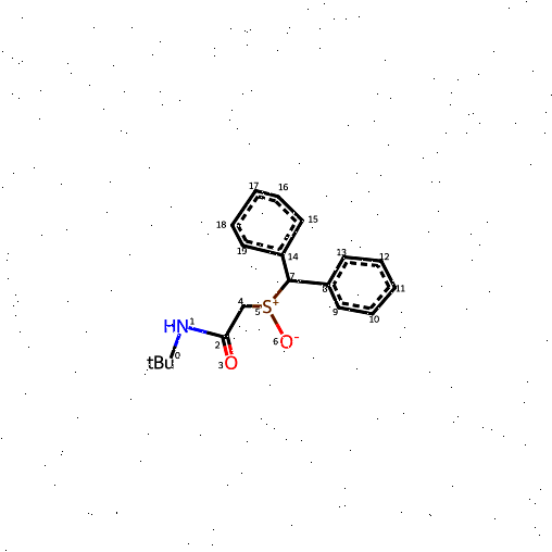 CC(C)(C)NC(=O)C[S+]([O-])C(c1ccccc1)c1ccccc1